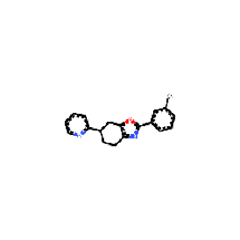 N#Cc1cccc(-c2nc3c(o2)CC(c2ccccn2)CC3)c1